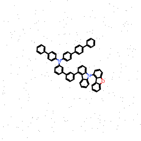 c1ccc(-c2ccc(-c3ccc(N(c4ccc(-c5ccccc5)cc4)c4cccc(-c5cccc(-c6cccc7c6c6ccccc6n7-c6cccc7oc8ccccc8c67)c5)c4)cc3)cc2)cc1